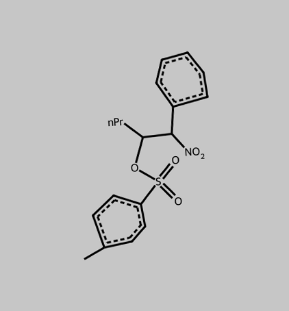 CCCC(OS(=O)(=O)c1ccc(C)cc1)C(c1ccccc1)[N+](=O)[O-]